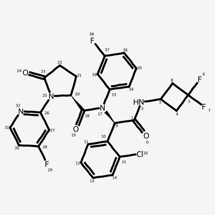 O=C(NC1CC(F)(F)C1)[C@@H](c1ccccc1Cl)N(C(=O)[C@@H]1CCC(=O)N1c1cc(F)ccn1)c1cccc(F)c1